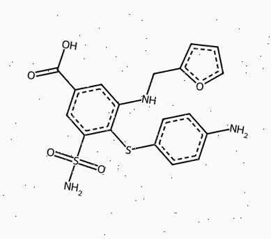 Nc1ccc(Sc2c(NCc3ccco3)cc(C(=O)O)cc2S(N)(=O)=O)cc1